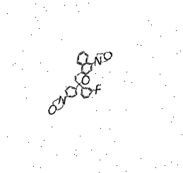 Fc1cccc(C2(c3ccc(N4CCOCC4)cc3)C=Cc3c(cc(N4CCOCC4)c4ccccc34)O2)c1